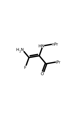 CCCN/C(C(=O)C(C)C)=C(\N)F